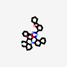 c1ccc(-c2nc(-c3c(N4c5ccccc5-c5cccc6cccc4c56)ccc4ccccc34)nc(-c3cccc4c3oc3ccccc34)n2)cc1